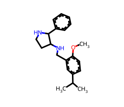 COc1ccc(C(C)C)cc1CNC1CCNC1c1ccccc1